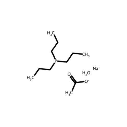 CC(=O)[O-].CCCP(CCC)CCC.O.[Na+]